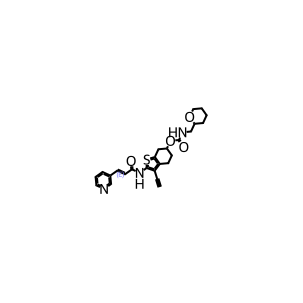 C#Cc1c(NC(=O)/C=C/c2cccnc2)sc2c1CCC(OC(=O)NCC1CCCCO1)C2